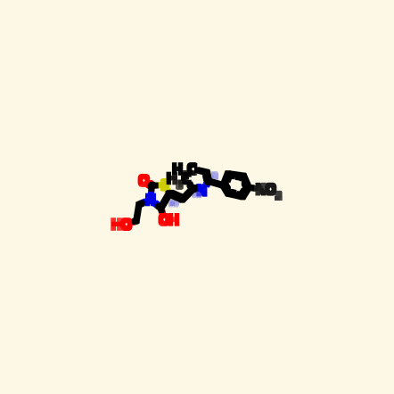 C\C=C(/N=C(C)/C=C1\SC(=O)N(CCO)C1O)c1ccc([N+](=O)[O-])cc1